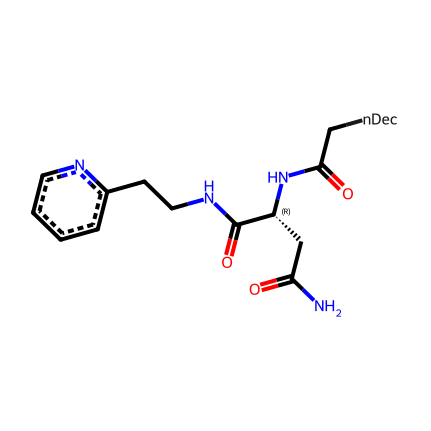 CCCCCCCCCCCC(=O)N[C@H](CC(N)=O)C(=O)NCCc1ccccn1